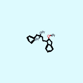 CCCC([CH]c1ccccc1)(CCC1c2ccccc2CC1OC(C)C)C(C)C